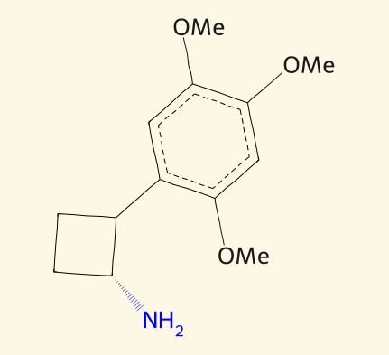 COc1cc(OC)c(C2CC[C@H]2N)cc1OC